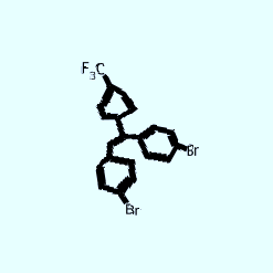 FC(F)(F)c1ccc(C(=Cc2ccc(Br)cc2)c2ccc(Br)cc2)cc1